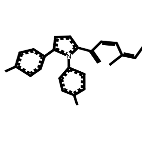 C=C(/C=C\C(C)=C/C)c1ccc(-c2ccc(C)cc2)n1-c1ccc(C)cc1